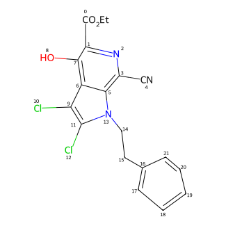 CCOC(=O)c1nc(C#N)c2c(c1O)c(Cl)c(Cl)n2CCc1ccccc1